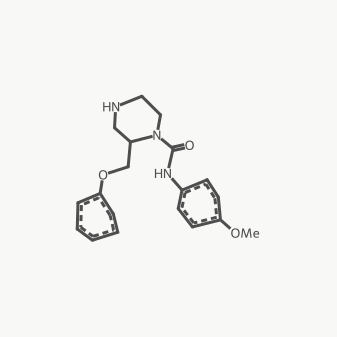 COc1ccc(NC(=O)N2CCNCC2COc2ccccc2)cc1